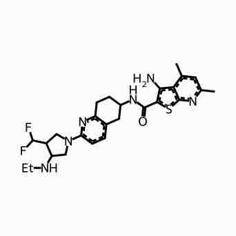 CCNC1CN(c2ccc3c(n2)CCC(NC(=O)c2sc4nc(C)cc(C)c4c2N)C3)CC1C(F)F